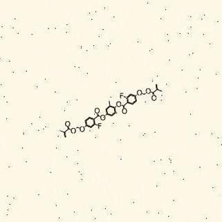 C=C(C)C(=O)OCOc1ccc(C(=O)Oc2ccc(OC(=O)c3ccc(OCOC(=O)C(=C)C)cc3F)c(C)c2)c(F)c1